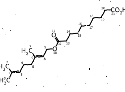 CC(C)=CCC/C(C)=C/COC(=O)CCCCCCCCC(=O)O